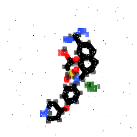 Cl.Cl.N=C(N)c1ccc2ccc(CN(c3ccc(OC4CCNCC4)cc3)S(=O)(=O)CC(=O)O)cc2c1